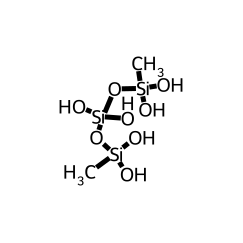 C[Si](O)(O)O[Si](O)(O)O[Si](C)(O)O